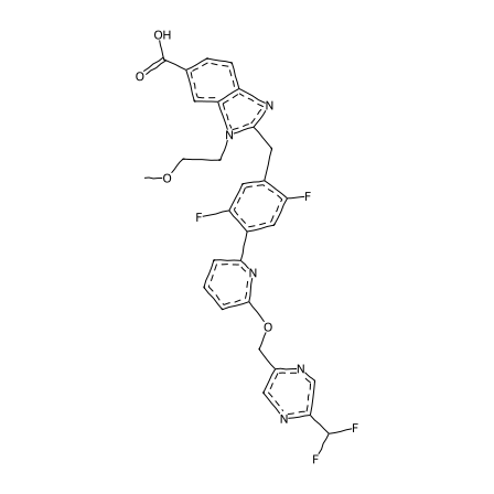 COCCn1c(Cc2cc(F)c(-c3cccc(OCc4cnc(C(F)F)cn4)n3)cc2F)nc2ccc(C(=O)O)cc21